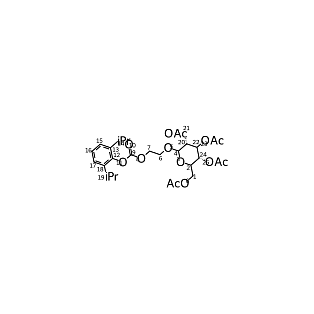 CC(=O)OCC1OC(OCCOC(=O)Oc2c(C(C)C)cccc2C(C)C)[C@H](OC(C)=O)C(OC(C)=O)[C@@H]1OC(C)=O